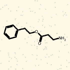 NCCC(=O)OCCc1ccccc1